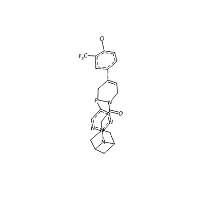 O=C(CN1CC2CC(C1)N2c1ncc(F)cn1)N1CC=C(c2ccc(Cl)c(C(F)(F)F)c2)CC1